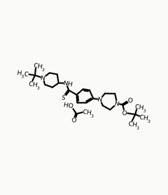 CC(=O)O.CC(C)(C)OC(=O)N1CCN(c2ccc(C(=S)NC3CCN(C(C)(C)C)CC3)cc2)CC1